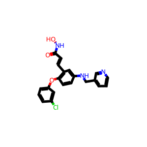 O=C(C=Cc1cc(NCc2cccnc2)ccc1Oc1cccc(Cl)c1)NO